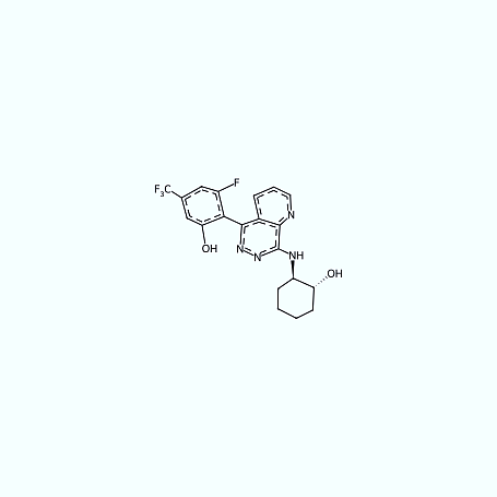 Oc1cc(C(F)(F)F)cc(F)c1-c1nnc(N[C@@H]2CCCC[C@H]2O)c2ncccc12